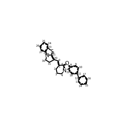 C(=C1CCC[n+]2c1oc1ccc(-c3ccccc3)cc12)C1=C2Sc3ccccc3N2CC1